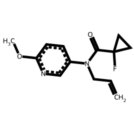 C=CCN(C(=O)C1(F)CC1)c1ccc(OC)nc1